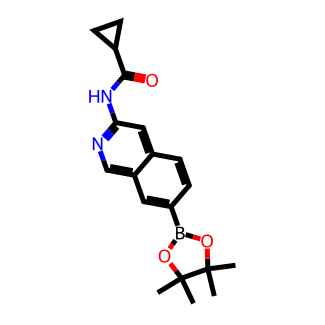 CC1(C)OB(c2ccc3cc(NC(=O)C4CC4)ncc3c2)OC1(C)C